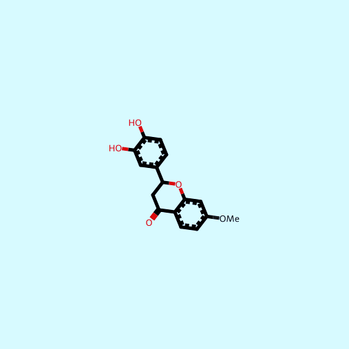 COc1ccc2c(c1)OC(c1ccc(O)c(O)c1)CC2=O